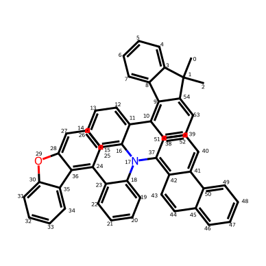 CC1(C)c2ccccc2-c2c(-c3ccccc3N(c3ccccc3-c3cccc4oc5ccccc5c34)c3cccc4c3ccc3ccccc34)cccc21